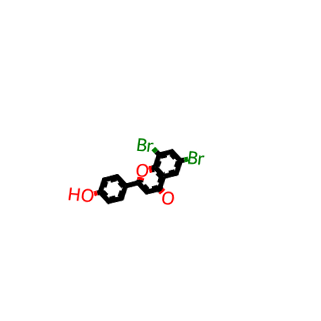 O=c1cc(-c2ccc(O)cc2)oc2c(Br)cc(Br)cc12